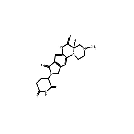 CN1CCN2c3cc4c(cc3NC(=O)[C@@H]2C1)C(=O)N(C1CCC(=O)NC1=O)C4